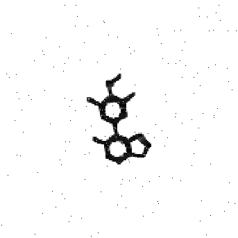 COc1c(C)cc(-c2c(C)ccc3c2C=CC3)cc1C